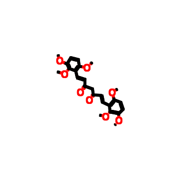 COc1ccc(OC)c(OC)c1C=CC(=O)CC(=O)C=Cc1c(OC)ccc(OC)c1OC